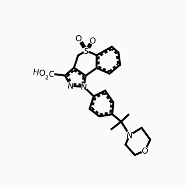 CC(C)(c1ccc(-n2nc(C(=O)O)c3c2-c2ccccc2S(=O)(=O)C3)cc1)N1CCOCC1